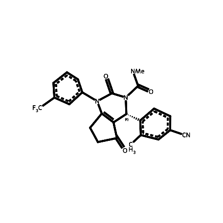 CNC(=O)N1C(=O)N(c2cccc(C(F)(F)F)c2)C2=C(C(=O)CC2)[C@H]1c1ccc(C#N)cc1C